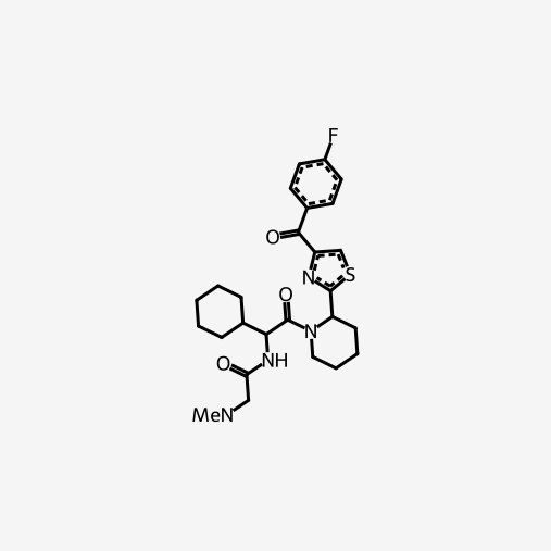 CNCC(=O)NC(C(=O)N1CCCCC1c1nc(C(=O)c2ccc(F)cc2)cs1)C1CCCCC1